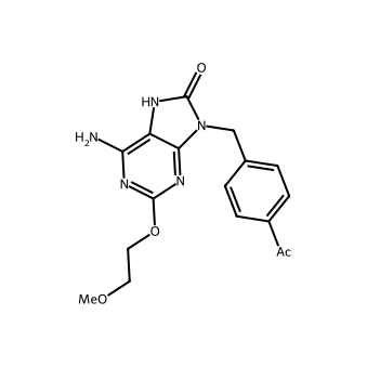 COCCOc1nc(N)c2[nH]c(=O)n(Cc3ccc(C(C)=O)cc3)c2n1